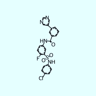 O=C(Nc1ccc(F)c(S(=O)(=O)Nc2ccc(Cl)cc2)c1)c1cccc(-c2cncnc2)c1